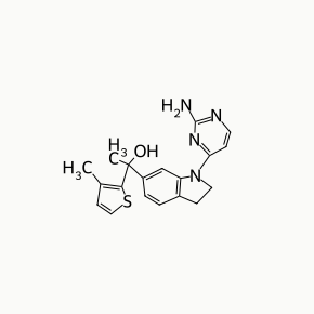 Cc1ccsc1C(C)(O)c1ccc2c(c1)N(c1ccnc(N)n1)CC2